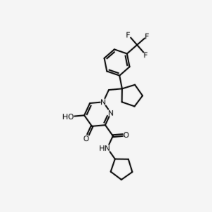 O=C(NC1CCCC1)c1nn(CC2(c3cccc(C(F)(F)F)c3)CCCC2)cc(O)c1=O